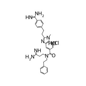 Cl.Cl.Cn1c(CCc2ccc(C(=N)N)cc2)nc2cc(C(=O)N(CCC(=N)N)CCc3ccccc3)ccc21